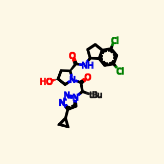 CC(C)(C)C(C(=O)N1C[C@H](O)C[C@H]1C(=O)NC1CCc2c(Cl)cc(Cl)cc21)n1cc(C2CC2)nn1